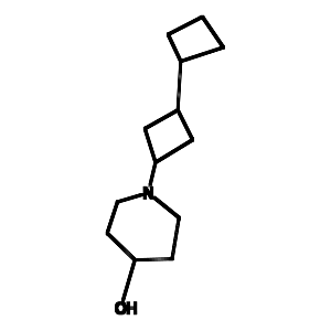 OC1CCN(C2CC(C3CCC3)C2)CC1